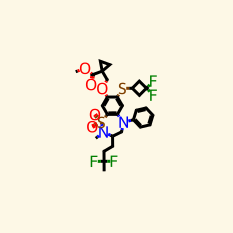 COC(=O)C1(COc2cc3c(cc2SC2CC(F)(F)C2)N(c2ccccc2)CC(CCC(C)(F)F)N(C)S3(=O)=O)CC1